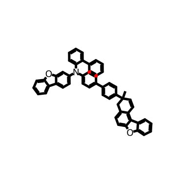 CC1(c2ccc(-c3ccc(N(c4ccc5c(c4)oc4ccccc45)c4ccccc4-c4ccccc4)cc3)cc2)C=Cc2c(ccc3oc4ccccc4c23)C1